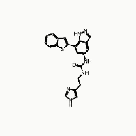 O=C(NCCc1c[nH]cn1)Nc1cc(-c2cc3ccccc3s2)c2[nH]ncc2c1